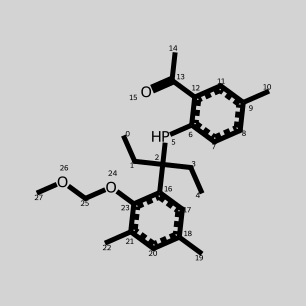 CCC(CC)(Pc1ccc(C)cc1C(C)=O)c1cc(C)cc(C)c1OCOC